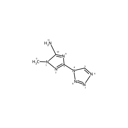 Cn1nc(-n2cnnn2)nc1N